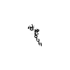 COc1cc(N2CCC(N3CCN(C)CC3)CC2)ccc1Nc1nc(Nc2ccc3nccnc3c2N(C)S(C)(=O)=O)c2sccc2n1